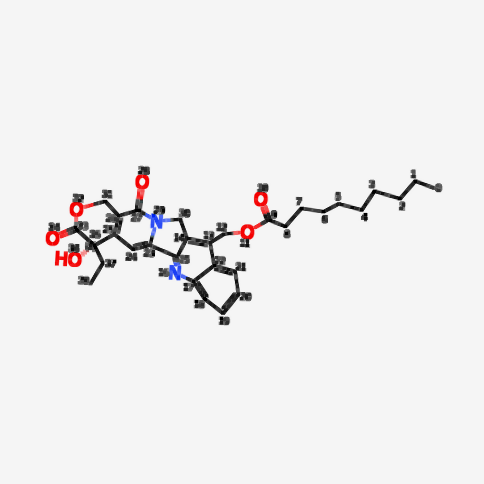 CCCCCCCCCC(=O)OCc1c2c(nc3ccccc13)-c1cc3c(c(=O)n1C2)COC(=O)[C@]3(O)CC